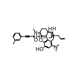 C=CCN1CC[C@]23c4c5c(N(C)C)cc(O)c4O[C@H]2[C@H](N(C)C(=O)C#Cc2cccc(C)c2)CC[C@H]3[C@H]1C5